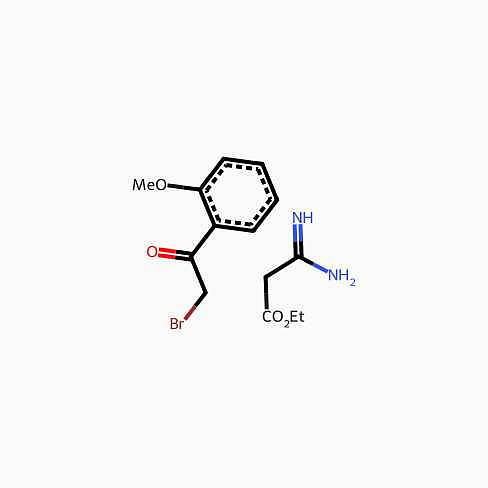 CCOC(=O)CC(=N)N.COc1ccccc1C(=O)CBr